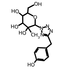 CC1(O)C(O)C(O)C(CO)OC1n1nnc(Cc2ccc(O)cc2)n1